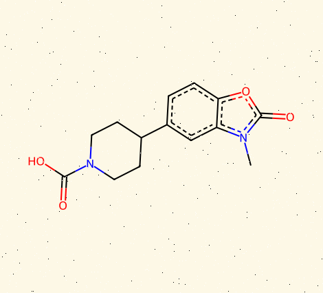 Cn1c(=O)oc2ccc(C3CCN(C(=O)O)CC3)cc21